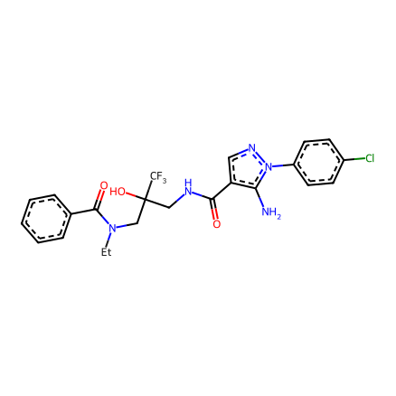 CCN(CC(O)(CNC(=O)c1cnn(-c2ccc(Cl)cc2)c1N)C(F)(F)F)C(=O)c1ccccc1